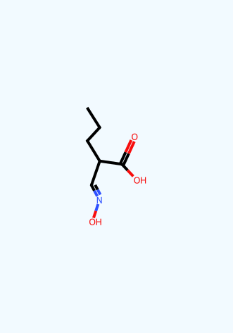 CCCC(C=NO)C(=O)O